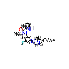 CO[C@@H]1C[C@@H]2CN(c3ccc(C[C@@H](C#N)NC(=O)[C@H]4N[C@@H]5CC[C@H]4C5)c(F)c3)CCN2C1